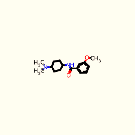 COc1cccc(C(=O)NC2CCC(N(C)C)CC2)c1